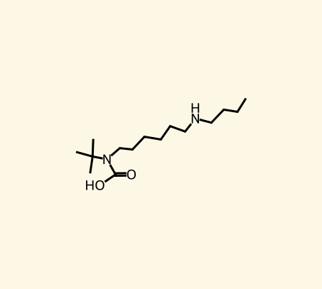 CCCCNCCCCCCN(C(=O)O)C(C)(C)C